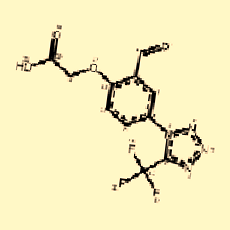 O=Cc1cc(-n2nnnc2C(F)(F)F)ccc1OCC(=O)O